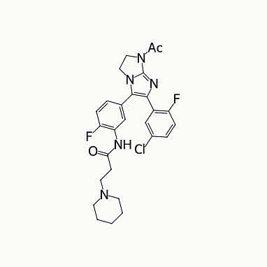 CC(=O)N1CCn2c1nc(-c1cc(Cl)ccc1F)c2-c1ccc(F)c(NC(=O)CCN2CCCCC2)c1